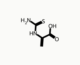 C=C(NC(N)=S)C(=O)O